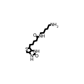 NCCCCCNC(=O)CCCCC1SCC2NC(=O)NC21